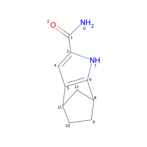 NC(=O)c1cc2c([nH]1)C1CCC2C1